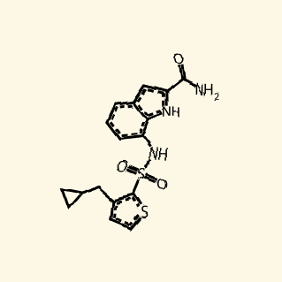 NC(=O)c1cc2cccc(NS(=O)(=O)c3sccc3CC3CC3)c2[nH]1